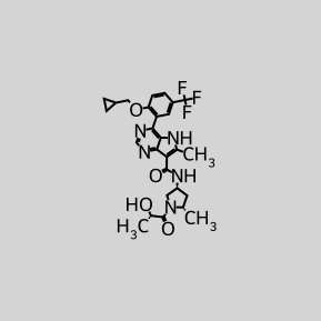 Cc1[nH]c2c(-c3cc(C(F)(F)F)ccc3OCC3CC3)ncnc2c1C(=O)N[C@H]1C[C@H](C)N(C(=O)[C@H](C)O)C1